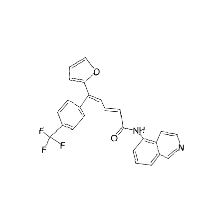 O=C(/C=C/C=C(\c1ccc(C(F)(F)F)cc1)c1ccco1)Nc1cccc2cnccc12